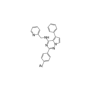 CC(=O)c1ccc(-c2nc(NCc3ccccn3)c3c(-c4ccccc4)ccn3n2)cc1